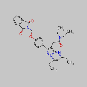 CCc1cc(CC)n2nc(-c3ccc(OCN4C(=O)c5ccccc5C4=O)cc3)c(CC(=O)N(CC)CC)c2n1